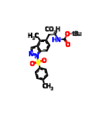 Cc1ccc(S(=O)(=O)n2ncc3c(C)c(CC(NC(=O)OC(C)(C)C)C(=O)O)ccc32)cc1